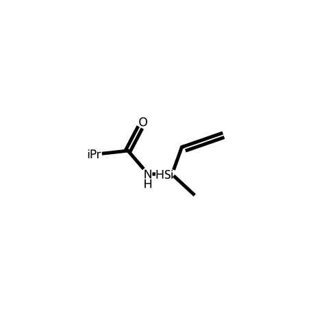 C=C[SiH](C)NC(=O)C(C)C